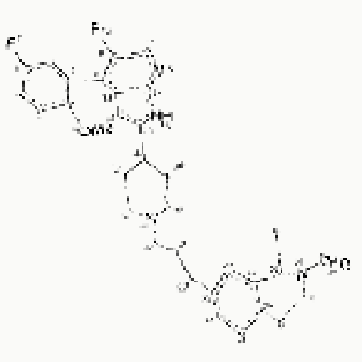 COc1ccc(F)cc1-c1c(F)cnc2[nH]c(C3CCN(CCCc4ccc5c(c4)C(C)N(C=O)CC5)CC3)cc12